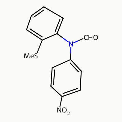 CSc1ccccc1N(C=O)c1ccc([N+](=O)[O-])cc1